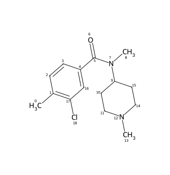 Cc1ccc(C(=O)N(C)C2CCN(C)CC2)cc1Cl